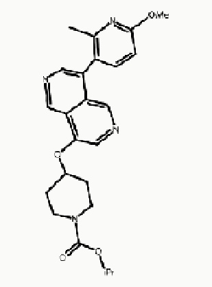 COc1ccc(-c2cncc3c(OC4CCN(C(=O)OC(C)C)CC4)cncc23)c(C)n1